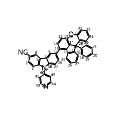 N#Cc1ccc2c(c1)c1cc(-c3ccc4c(c3)C(c3ccccc3)(c3ccccc3)c3ccccc3O4)ccc1n2-c1ccncc1